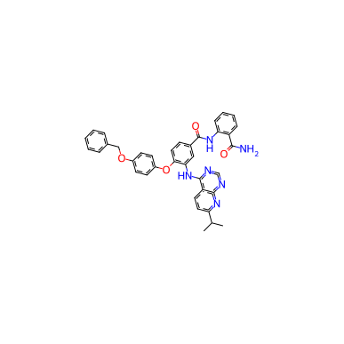 CC(C)c1ccc2c(Nc3cc(C(=O)Nc4ccccc4C(N)=O)ccc3Oc3ccc(OCc4ccccc4)cc3)ncnc2n1